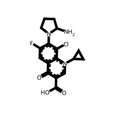 NC1CCCN1c1c(F)cc2c(=O)c(C(=O)O)cn(C3CC3)c2c1Cl